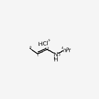 CC=CNCCC.Cl